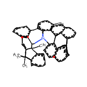 CC(C)(C)c1ccc(-c2ccccc2)c(N(c2ccccc2-c2cccc3cccc(-c4ccccc4)c23)C2C=CC=C3C(C)(C)c4ccccc4C32C)c1